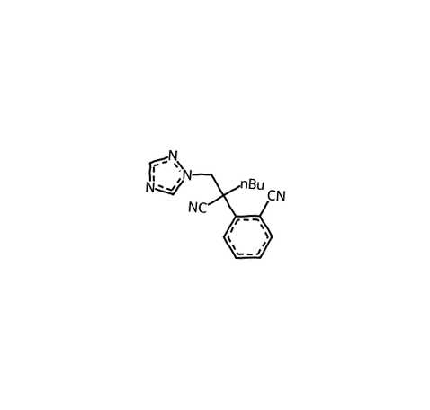 CCCCC(C#N)(Cn1cncn1)c1ccccc1C#N